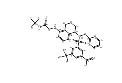 CC(=O)c1cc(C(F)(F)F)cc(S(=O)(=O)N(Cc2ccccc2)C2CCCc3c(OCC(=O)OC(C)(C)C)cccc32)c1